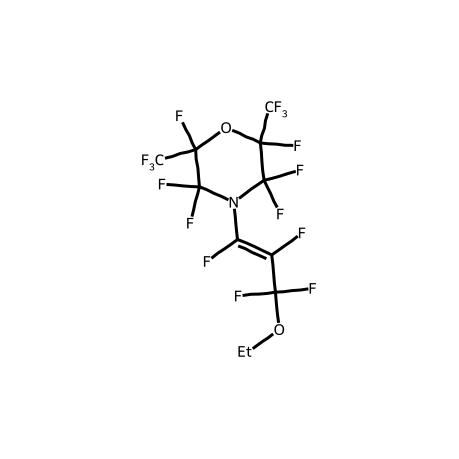 CCOC(F)(F)/C(F)=C(\F)N1C(F)(F)C(F)(C(F)(F)F)OC(F)(C(F)(F)F)C1(F)F